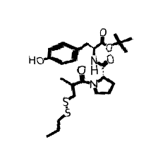 CCCSSCC(C)C(=O)N1CCC[C@H]1C(=O)N[C@@H](Cc1ccc(O)cc1)C(=O)OC(C)(C)C